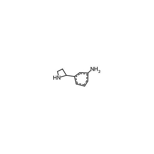 Nc1cccc(C2CCN2)c1